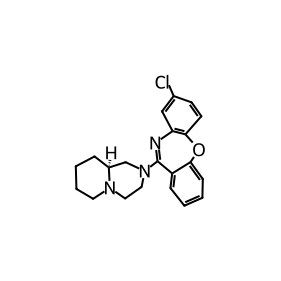 Clc1ccc2c(c1)N=C(N1CCN3CCCC[C@H]3C1)c1ccccc1O2